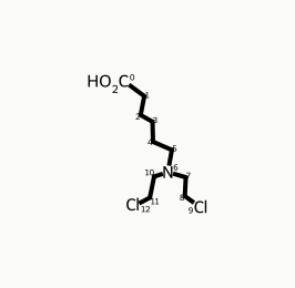 O=C(O)CCCCCN(CCCl)CCCl